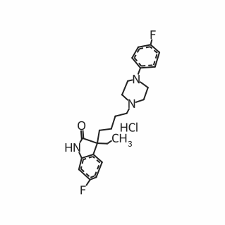 CCC1(CCCCN2CCN(c3ccc(F)cc3)CC2)C(=O)Nc2cc(F)ccc21.Cl